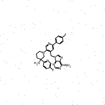 Nc1ncnc2c1ncn2Cc1cc(-c2ccc(F)cc2)ncc1N1CCCC(N)(c2ccc(F)cn2)C1